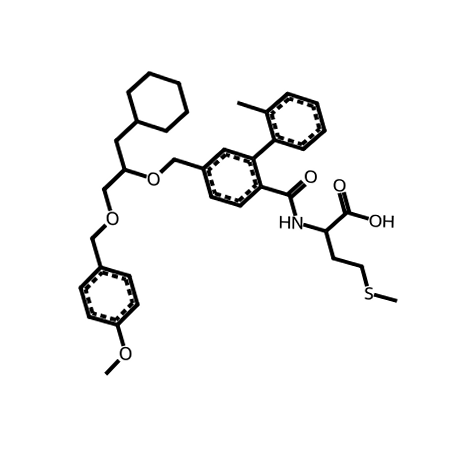 COc1ccc(COCC(CC2CCCCC2)OCc2ccc(C(=O)NC(CCSC)C(=O)O)c(-c3ccccc3C)c2)cc1